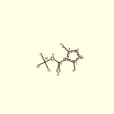 Cc1ncc(I)n1C(=O)OC(C)(C)C